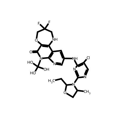 CCC1OCC(C)N1c1ncc(Cl)c(Nc2cnc3c(c2)c2c(c(=O)n3C(O)(O)O)OCC(F)(F)CN2)n1